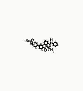 CC1CC(Nc2ccccc2)c2ccccc2N1C(=O)c1ccc(C2CCN(OC(=O)C(C)(C)C)CC2)cc1